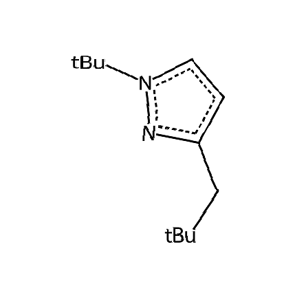 CC(C)(C)Cc1ccn(C(C)(C)C)n1